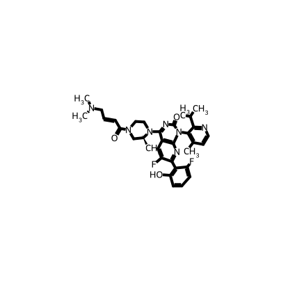 Cc1ccnc(C(C)C)c1-n1c(=O)nc(N2CCN(C(=O)/C=C/CN(C)C)C[C@@H]2C)c2cc(F)c(-c3c(O)cccc3F)nc21